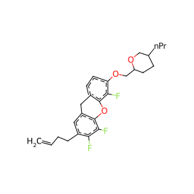 C=CCCc1cc2c(c(F)c1F)Oc1c(ccc(OCC3CCC(CCC)CO3)c1F)C2